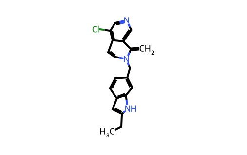 C=C1c2cncc(Cl)c2C=CN1Cc1ccc2cc(CC)[nH]c2c1